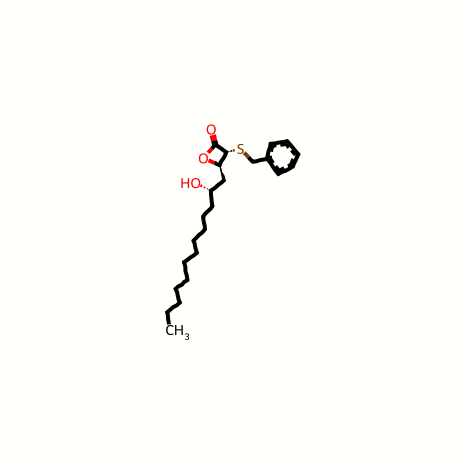 CCCCCCCCCCC[C@H](O)C[C@H]1OC(=O)[C@@H]1SCc1ccccc1